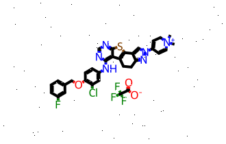 C[N+]1(C)C=CC(n2cc3c(n2)CCc2c-3sc3ncnc(Nc4ccc(OCc5cccc(F)c5)c(Cl)c4)c23)=CC1.O=C([O-])C(F)(F)F